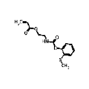 C=CC(=O)OCCNC(=O)Oc1ccccc1SC